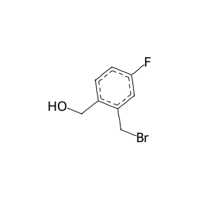 OCc1ccc(F)cc1CBr